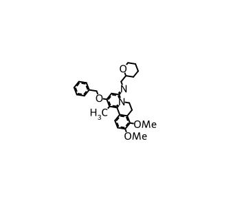 COc1ccc2c(c1OC)CCn1c-2c(C)c(OCc2ccccc2)c/c1=N\CC1CCCCO1